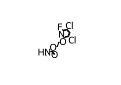 CNC(=O)OCCOc1nc(F)c(Cl)cc1Cl